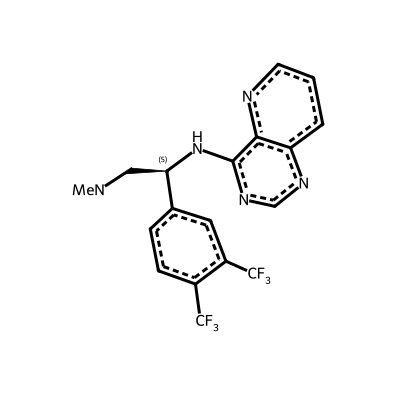 CNC[C@@H](Nc1ncnc2cccnc12)c1ccc(C(F)(F)F)c(C(F)(F)F)c1